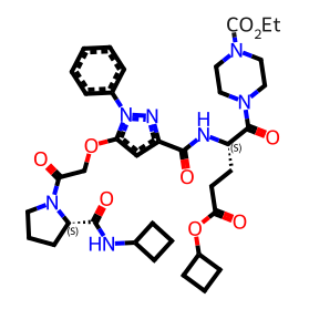 CCOC(=O)N1CCN(C(=O)[C@H](CCC(=O)OC2CCC2)NC(=O)c2cc(OCC(=O)N3CCC[C@H]3C(=O)NC3CCC3)n(-c3ccccc3)n2)CC1